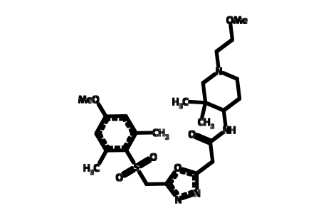 COCCN1CCC(NC(=O)Cc2nnc(CS(=O)(=O)c3c(C)cc(OC)cc3C)o2)C(C)(C)C1